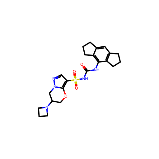 O=C(Nc1c2c(cc3c1CCC3)CCC2)NS(=O)(=O)c1cnn2c1OCC(N1CCC1)C2